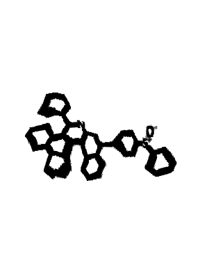 [O-][S+](c1ccccc1)c1ccc(-c2cc3nc(-c4ccccc4)c4c5ccccc5c5ccccc5c4c3c3ccccc23)cc1